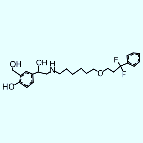 OCc1cc(C(O)CNCCCCCCOCCC(F)(F)c2ccccc2)ccc1O